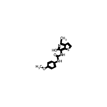 COc1ccc(NC(=O)Nc2c(O)nc(C)c3ccsc23)cc1